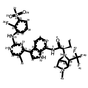 CC[C@H](C(=O)Nc1nccc2c(-c3nc(Nc4cccc(S(C)(=O)=O)c4F)ncc3C)c[nH]c12)N1C2CC(C1C(F)(F)F)N(C)C2